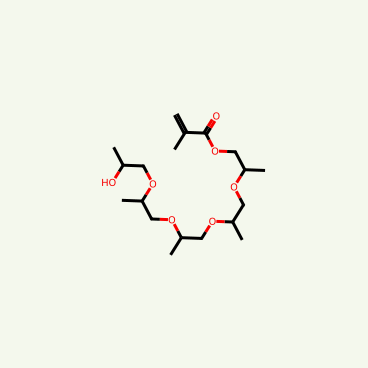 C=C(C)C(=O)OCC(C)OCC(C)OCC(C)OCC(C)OCC(C)O